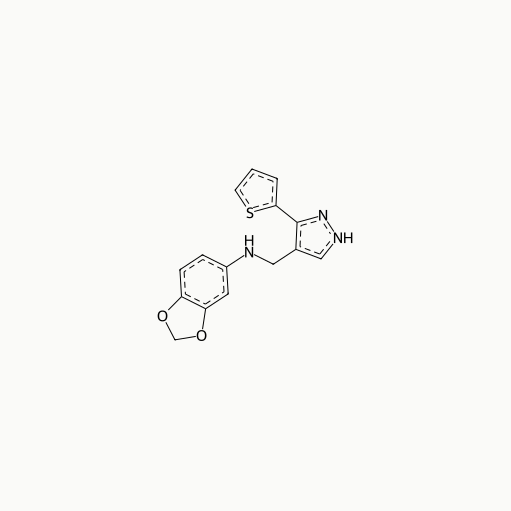 c1csc(-c2n[nH]cc2CNc2ccc3c(c2)OCO3)c1